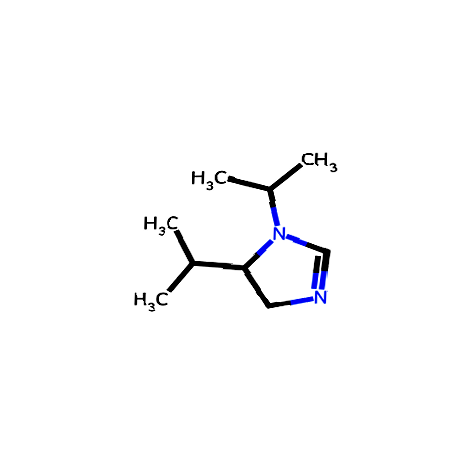 CC(C)C1CN=CN1C(C)C